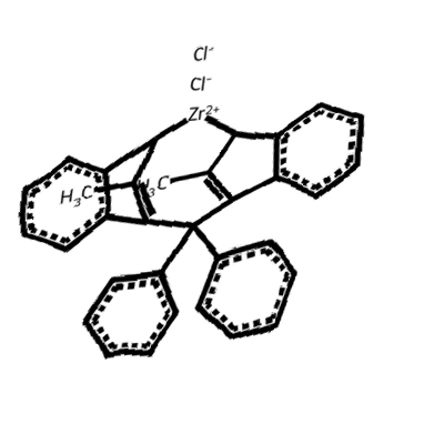 CC1=C2c3ccccc3[CH]1[Zr+2][CH]1C(C)=C(c3ccccc31)C2(c1ccccc1)c1ccccc1.[Cl-].[Cl-]